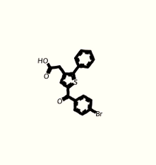 O=C(O)Cc1cc(C(=O)c2ccc(Br)cc2)sc1-c1ccccc1